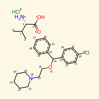 CC(C)[C@H](N)C(=O)O.Cl.Clc1ccc(C(OCCN2CCCCC2)c2ccccc2)cc1